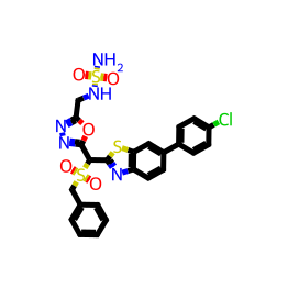 NS(=O)(=O)NCc1nnc(C(c2nc3ccc(-c4ccc(Cl)cc4)cc3s2)S(=O)(=O)Cc2ccccc2)o1